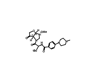 CO[C@@H]1CN(C(=O)C(NC(=O)c2ccc(N3CCN(C)CC3)cc2)C(C)(C)C)[C@@H]2C(=O)CO[C@@H]21